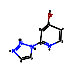 Brc1ccnc(-n2ccnn2)c1